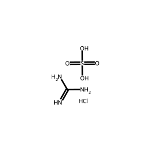 Cl.N=C(N)N.O=S(=O)(O)O